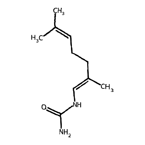 CC(C)=CCCC(C)=CNC(N)=O